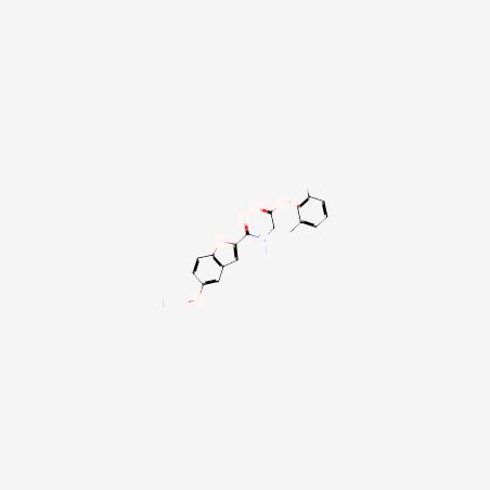 COc1ccc2oc(C(=O)N[C@@H](Cc3cccc(F)c3)C(=O)O)cc2c1